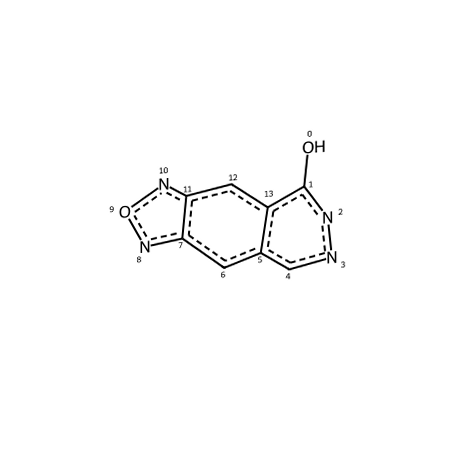 Oc1nncc2cc3nonc3cc12